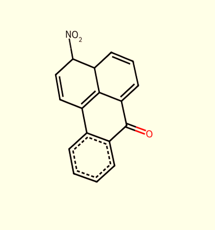 O=C1C2=CC=CC3C2=C(C=CC3[N+](=O)[O-])c2ccccc21